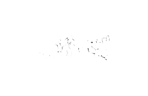 CCc1cc(Nc2nncn2[C@H]2CCc3sc(NC(=O)C4CC4)c(C(=O)NCC4CC4)c3C2)n(C)n1